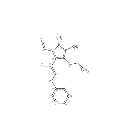 C=CCn1c(C)c(C)c(C=O)c1C(Cl)=CCc1ccccc1